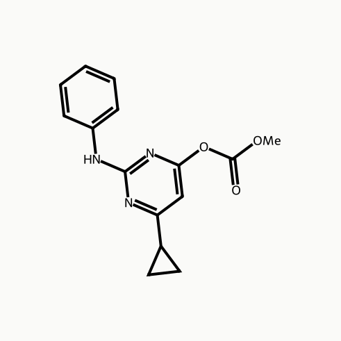 COC(=O)Oc1cc(C2CC2)nc(Nc2ccccc2)n1